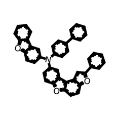 c1ccc(-c2ccc(N(c3ccc4oc5ccccc5c4c3)c3ccc4oc5ccc6oc(-c7ccccc7)cc6c5c4c3)cc2)cc1